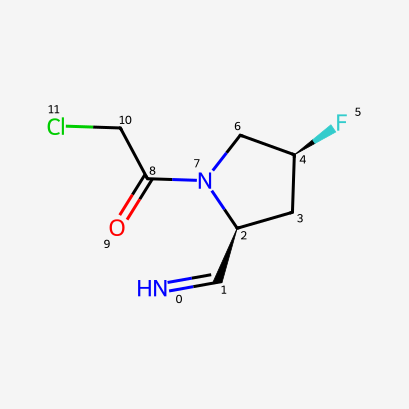 N=C[C@@H]1C[C@H](F)CN1C(=O)CCl